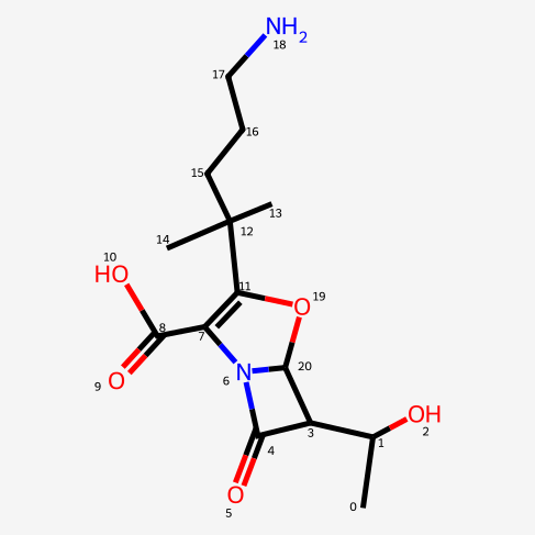 CC(O)C1C(=O)N2C(C(=O)O)=C(C(C)(C)CCCN)OC12